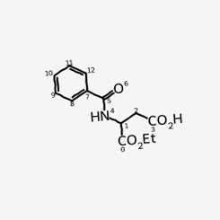 CCOC(=O)C(CC(=O)O)NC(=O)c1ccccc1